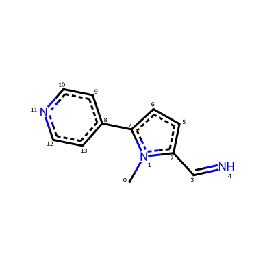 Cn1c(C=N)ccc1-c1ccncc1